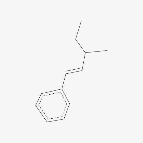 CCC(C)/C=C/c1ccccc1